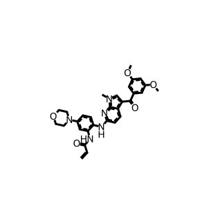 C=CC(=O)Nc1cc(N2CCOCC2)ccc1Nc1ccc2c(C(=O)c3cc(OC)cc(OC)c3)cn(C)c2n1